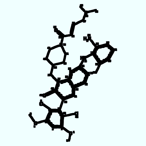 COc1cc(OC)c(Cl)c(-c2cc3cnc(Nc4c(C)cccc4N)nc3n(CC3CCN(C(=O)/C=C/CN(C)C)CC3)c2=O)c1Cl